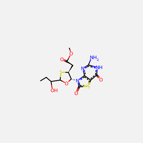 CCC(O)C1O[C@@H](n2c(=O)sc3c(=O)[nH]c(N)nc32)[C@H](CC(=O)OC)S1